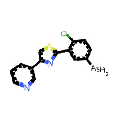 Clc1ccc([AsH2])cc1-c1nc(-c2cccnc2)cs1